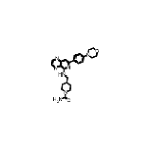 NC(=O)N1CCC(CNc2nc(-c3ccc(N4CCOCC4)cc3)cc3nccnc23)CC1